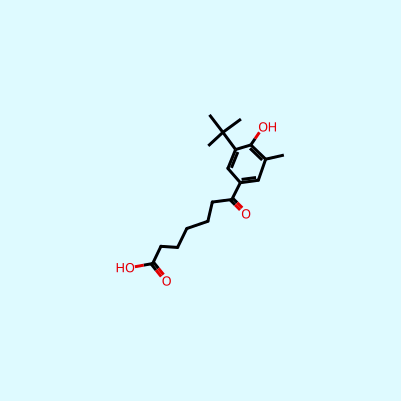 Cc1cc(C(=O)CCCCCC(=O)O)cc(C(C)(C)C)c1O